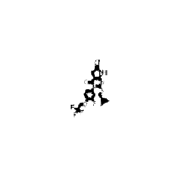 O=C1Cc2c(nc(SCC3CC3)n(-c3ccc(OCC(F)(F)F)c(F)c3)c2=O)N1